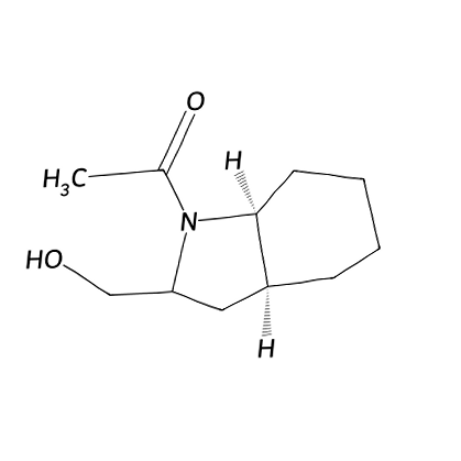 CC(=O)N1C(CO)C[C@@H]2CCCC[C@@H]21